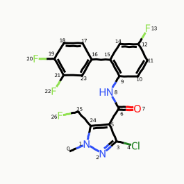 Cn1nc(Cl)c(C(=O)Nc2ccc(F)cc2-c2ccc(F)c(F)c2)c1CF